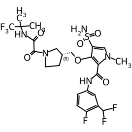 Cn1cc(S(N)(=O)=O)c(OC[C@@H]2CCN(C(=O)C(=O)NC(C)(C)C(F)(F)F)C2)c1C(=O)Nc1ccc(F)c(C(F)F)c1